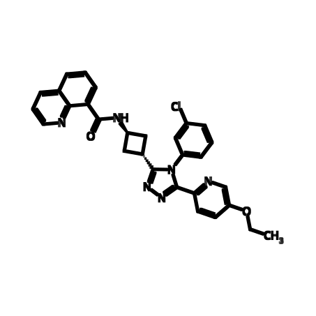 CCOc1ccc(-c2nnc([C@H]3C[C@H](NC(=O)c4cccc5cccnc45)C3)n2-c2cccc(Cl)c2)nc1